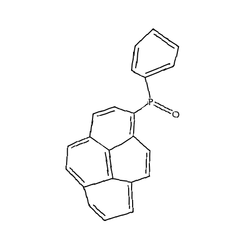 O=[P](c1ccccc1)c1ccc2ccc3cccc4ccc1c2c34